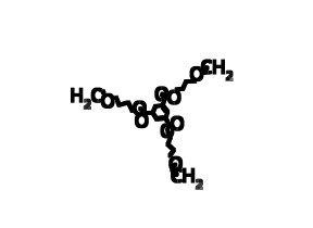 C=COCCCCOC(=O)C1=CC(C(=O)OCCCCOC=C)CC(C(=O)OCCCCOC=C)=C1